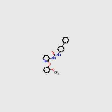 O=C(Nc1ccc(-c2ccccc2)cc1)Nc1cccnc1Oc1ccccc1OC(F)(F)F